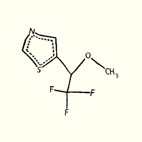 COC(c1cncs1)C(F)(F)F